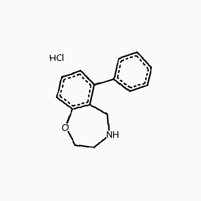 Cl.c1ccc(-c2cccc3c2CNCCO3)cc1